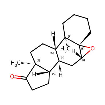 C[C@]12CC[C@H]3[C@@H](C[C@H]4O[C@]45CCCC[C@]35C)[C@@H]1CCC2=O